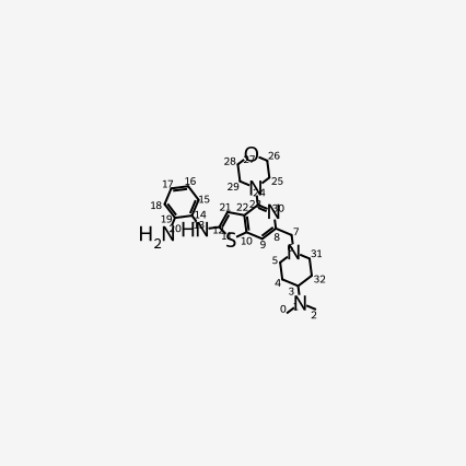 CN(C)C1CCN(Cc2cc3sc(Nc4ccccc4N)cc3c(N3CCOCC3)n2)CC1